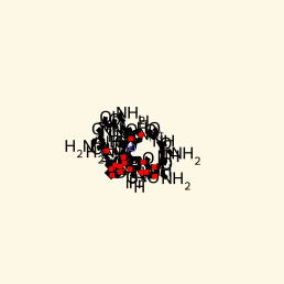 CNC(=O)c1ccccc1Sc1ccc2c(/C=C/c3ccccn3)nn(C(=O)N(C)C3(CSSCC(=O)N[C@@H](CCN)C(=O)N[C@H](C(=O)N[C@@H](CCN)C(=O)N[C@H]4CCNC(=O)[C@H]([C@@H](C)O)NC(=O)[C@H](CCN)NC(=O)[C@H](CCN)NC(=O)[C@H](CC(C)C)NC(=O)[C@@H](Cc5ccccc5)NC(=O)[C@H](CCN)NC4=O)[C@@H](C)O)CCC3)c2c1